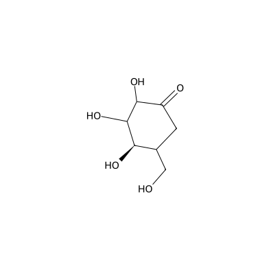 O=C1CC(CO)[C@@H](O)C(O)C1O